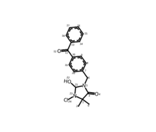 CC1(C)C(=O)N(Cc2ccc(C(=O)c3ccccc3)cc2)C(O)N1Cl